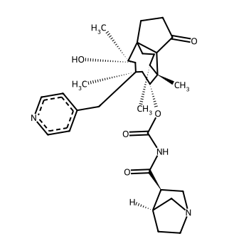 C[C@@H]1CCC23CCC(=O)C2[C@]1(C)[C@H](OC(=O)NC(=O)[C@H]1CN2CC[C@@H]1C2)C[C@@](C)(Cc1ccncc1)[C@@H](O)[C@@H]3C